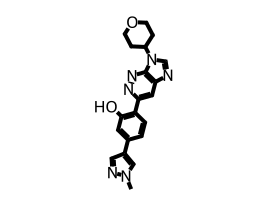 Cn1cc(-c2ccc(-c3cc4ncn(C5CCOCC5)c4nn3)c(O)c2)cn1